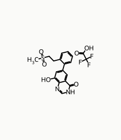 CS(=O)(=O)CCc1ccccc1-c1cc(O)c2nc[nH]c(=O)c2c1.O=C(O)C(F)(F)F